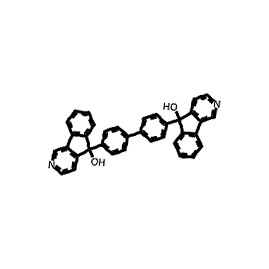 OC1(c2ccc(-c3ccc(C4(O)c5ccccc5-c5cnccc54)cc3)cc2)c2ccccc2-c2cnccc21